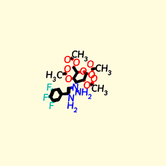 CC(=O)OCC1OC(OC(C)=O)C(OC(C)=O)C(N(N)/C=C(\N)c2cc(F)c(F)c(F)c2)C1OC(C)=O